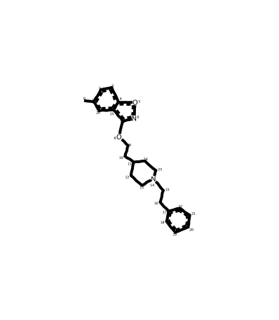 Cc1ccc2onc(OCCC3CCN(CCc4ccccc4)CC3)c2c1